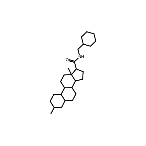 CC1CCC2C(CCC3C2CCC2(C)C(C(=O)NCC4CCCCC4)CCC32)C1